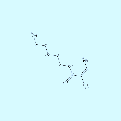 CCCCC=C(C)C(=O)OCCOCCO